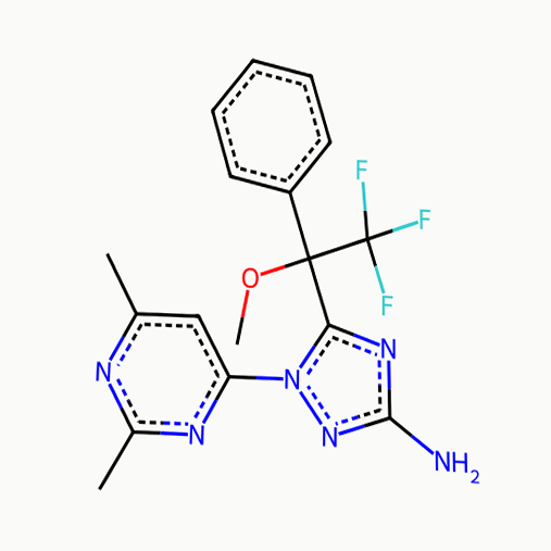 COC(c1ccccc1)(c1nc(N)nn1-c1cc(C)nc(C)n1)C(F)(F)F